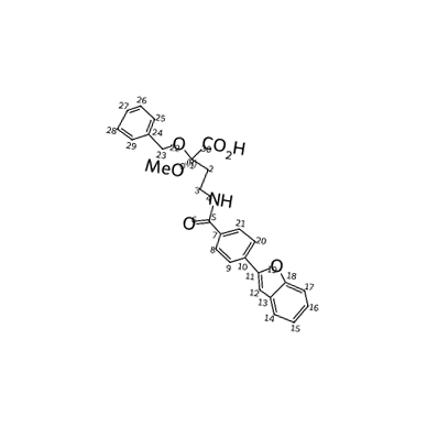 CO[C@](CCNC(=O)c1ccc(-c2cc3ccccc3o2)cc1)(OCc1ccccc1)C(=O)O